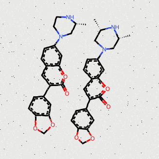 C[C@@H]1CN(c2ccc3cc(-c4ccc5c(c4)OCO5)c(=O)oc3c2)CCN1.C[C@@H]1CN(c2ccc3cc(-c4ccc5c(c4)OCO5)c(=O)oc3c2)C[C@H](C)N1